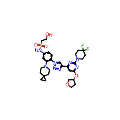 O=S(=O)(CCO)Nc1ccc(-n2cc(-c3cc(OC4CCOC4)nc(N4CCC(F)(F)CC4)n3)nn2)c(N2CCC3(CC2)CC3)c1